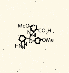 COc1ccc(OC(c2nc3c(OC)ccc(C(=O)O)c3[nH]2)c2cccc3[nH]nnc23)cc1